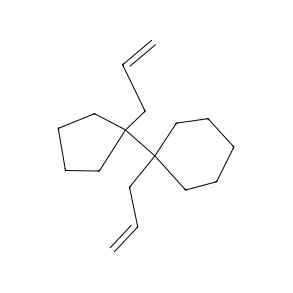 C=CCC1(C2(CC=C)CCCC2)CCCCC1